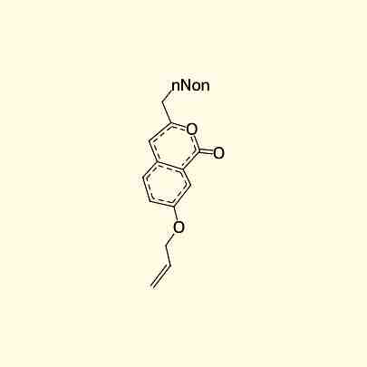 C=CCOc1ccc2cc(CCCCCCCCCC)oc(=O)c2c1